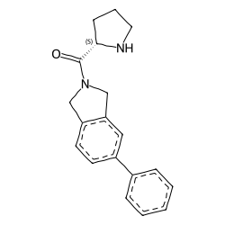 O=C([C@@H]1CCCN1)N1Cc2ccc(-c3ccccc3)cc2C1